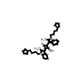 CC1=[N+](CCCCC2C=CC=C2)c2ccccc2/C1=C1/C(=O)C(c2c(C)n(CCCCC3C=CC=C3)c3ccccc23)=C1O